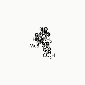 CSCC[C@H](NC(=O)[C@@H]1CCCN1C(=O)CNC(=O)[C@@H]1CCCN1C(=O)[C@@H]1CCCN1C(=O)CN)C(=O)NCC(=O)N1CCC[C@H]1C(=O)N1CCC[C@H]1C(=O)NCC(=O)O